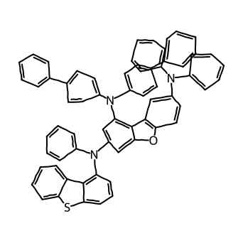 c1ccc(-c2ccc(N(c3ccc(-c4ccccc4)cc3)c3cc(N(c4ccccc4)c4cccc5sc6ccccc6c45)cc4oc5ccc(N(c6ccccc6)c6ccccc6)cc5c34)cc2)cc1